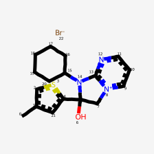 Cc1csc(C2(O)C[n+]3cccnc3N2C2CCCCC2)c1.[Br-]